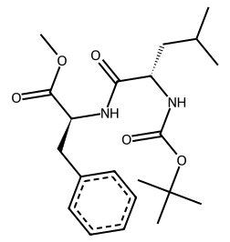 COC(=O)[C@H](Cc1ccccc1)NC(=O)[C@H](CC(C)C)NC(=O)OC(C)(C)C